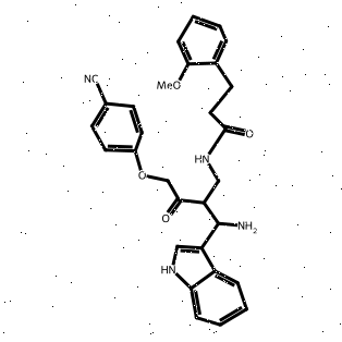 COc1ccccc1CCC(=O)NCC(C(=O)COc1ccc(C#N)cc1)C(N)c1c[nH]c2ccccc12